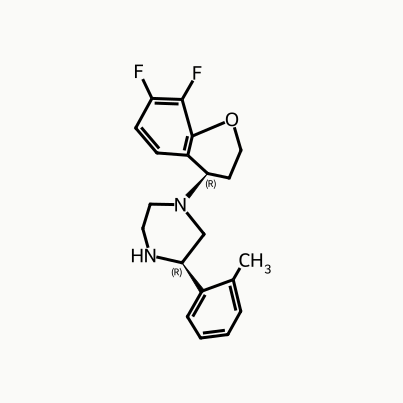 Cc1ccccc1[C@@H]1CN([C@@H]2CCOc3c2ccc(F)c3F)CCN1